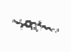 CC(C)CNC(=O)c1ccc(COC(=O)NCCCS(=O)(=O)O)c([N+](=O)[O-])c1